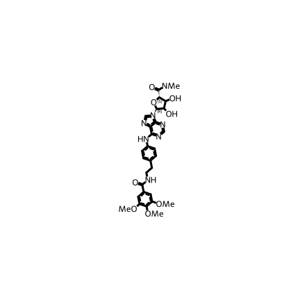 CNC(=O)[C@H]1O[C@@H](n2cnc3c(Nc4ccc(CCNC(=O)c5cc(OC)c(OC)c(OC)c5)cc4)ncnc32)C(O)C1O